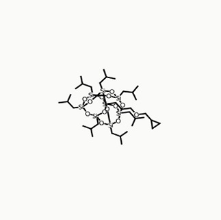 CC(C)C[Si]12O[Si]3(CCCOCC4CC4)O[Si]4(CC(C)C)O[Si](CC(C)C)(O1)O[Si]1(CC(C)C)O[Si](CC(C)C)(O2)O[Si](CC(C)C)(O3)O[Si](CC(C)C)(O4)O1